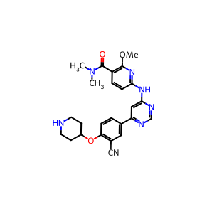 COc1nc(Nc2cc(-c3ccc(OC4CCNCC4)c(C#N)c3)ncn2)ccc1C(=O)N(C)C